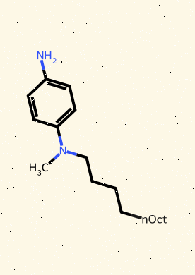 CCCCCCCCCCCCN(C)c1ccc(N)cc1